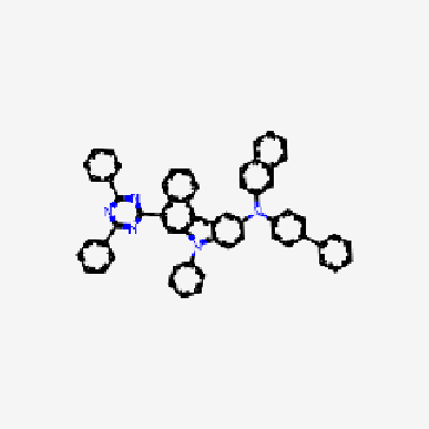 c1ccc(-c2ccc(N(c3ccc4ccccc4c3)c3ccc4c(c3)c3c5ccccc5c(-c5nc(-c6ccccc6)nc(-c6ccccc6)n5)cc3n4-c3ccccc3)cc2)cc1